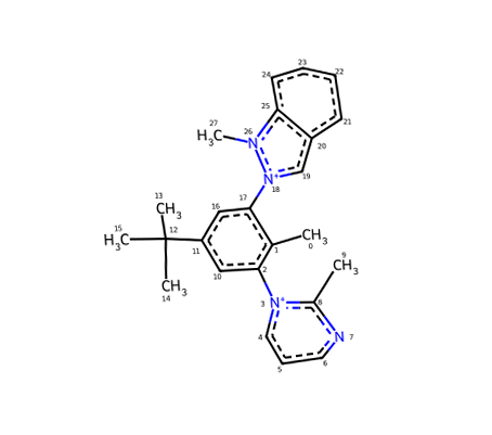 Cc1c(-[n+]2cccnc2C)cc(C(C)(C)C)cc1-[n+]1cc2ccccc2n1C